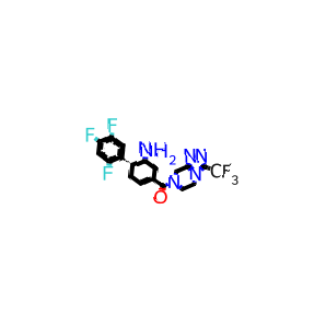 NC1CC(C(=O)N2CCn3c(nnc3C(F)(F)F)C2)=CC[C@@H]1c1cc(F)c(F)cc1F